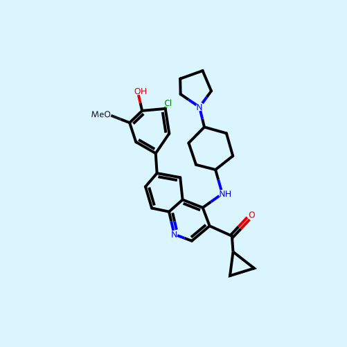 COc1cc(-c2ccc3ncc(C(=O)C4CC4)c(NC4CCC(N5CCCC5)CC4)c3c2)cc(Cl)c1O